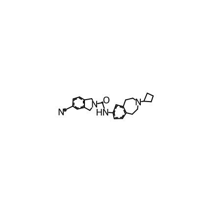 N#Cc1ccc2c(c1)CN(C(=O)Nc1ccc3c(c1)CCN(C1CCC1)CC3)C2